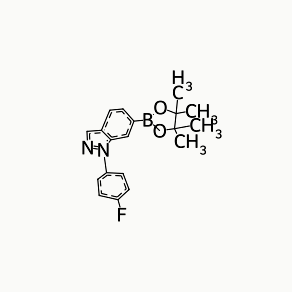 CC1(C)OB(c2ccc3cnn(-c4ccc(F)cc4)c3c2)OC1(C)C